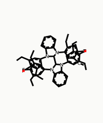 CCc1cc(N2c3ccccc3N(c3cc(CC)c(F)c(CC)c3)C2C2N(c3cc(CC)c(F)c(CC)c3)c3ccccc3N2c2cc(CC)c(F)c(CC)c2)c(CC)cc1F